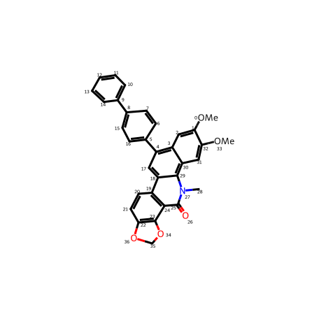 COc1cc2c(-c3ccc(-c4ccccc4)cc3)cc3c4ccc5c(c4c(=O)n(C)c3c2cc1OC)OCO5